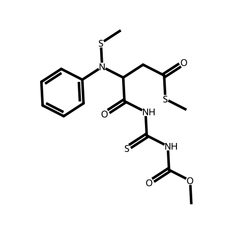 COC(=O)NC(=S)NC(=O)C(CC(=O)SC)N(SC)c1ccccc1